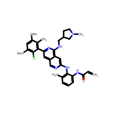 C=CC(=O)Nc1cccc(C)c1Nc1cc2c(NCC3CCN(C)C3)nc(-c3c(C)c(OC)cc(OC)c3Cl)cc2cn1